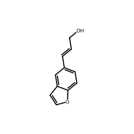 OCC=Cc1ccc2occc2c1